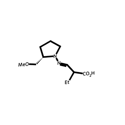 CCC(C=NN1CCC[C@H]1COC)C(=O)O